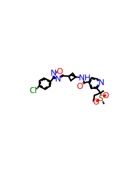 CCC(C)(c1cc(C(=O)NC23CC(c4nc(-c5ccc(Cl)cc5)no4)(C2)C3)ccn1)S(C)(=O)=O